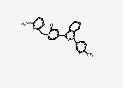 Nc1cccc(Cn2ccc(-c3nn(-c4ccc(C(F)(F)F)cc4)c4ccccc34)cc2=O)n1